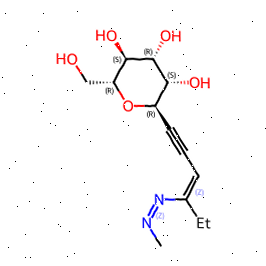 CCC(=C/C#C[C@H]1O[C@H](CO)[C@@H](O)[C@H](O)[C@@H]1O)/N=N\C